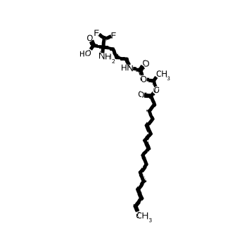 CCCCCCCCCCCCCCCC(=O)OC(C)OC(=O)NCCCC(N)(C(=O)O)C(F)F